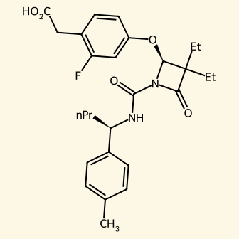 CCC[C@@H](NC(=O)N1C(=O)C(CC)(CC)[C@@H]1Oc1ccc(CC(=O)O)c(F)c1)c1ccc(C)cc1